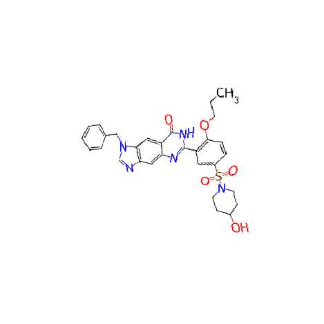 CCCOc1ccc(S(=O)(=O)N2CCC(O)CC2)cc1-c1nc2cc3ncn(Cc4ccccc4)c3cc2c(=O)[nH]1